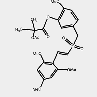 COc1cc(OC)c(C=CS(=O)(=O)Cc2ccc(OC)c(OC(=O)C(C)(C)OC(C)=O)c2)c(OC)c1